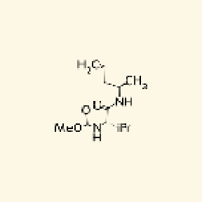 C=CC[C@@H](C)NC(=O)[C@@H](NC(=O)OC)C(C)C